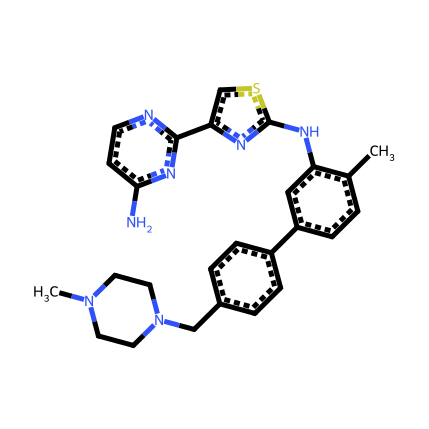 Cc1ccc(-c2ccc(CN3CCN(C)CC3)cc2)cc1Nc1nc(-c2nccc(N)n2)cs1